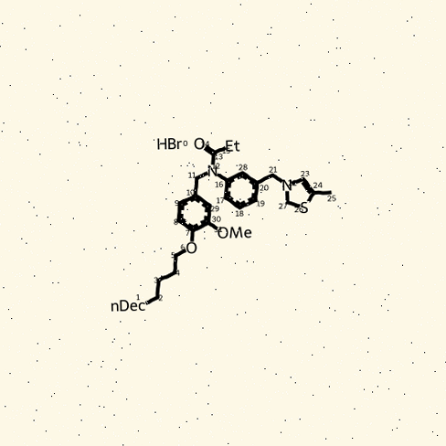 Br.CCCCCCCCCCCCCCOc1ccc(CN(C(=O)CC)c2cccc(CN3C=C(C)SC3)c2)cc1OC